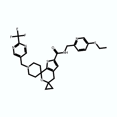 CCSc1ccc(CNC(=O)c2cc3c(s2)C2(CCN(Cc4cnc(C(F)(F)F)nc4)CC2)OC2(CC2)C3)nc1